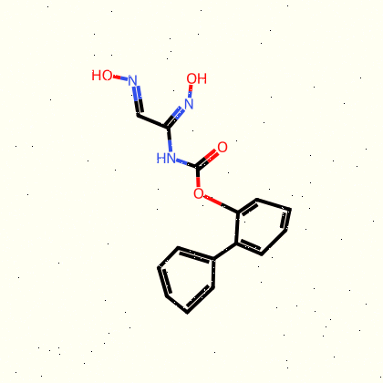 O=C(NC(C=NO)=NO)Oc1ccccc1-c1ccccc1